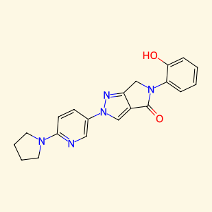 O=C1c2cn(-c3ccc(N4CCCC4)nc3)nc2CN1c1ccccc1O